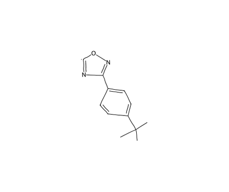 CC(C)(C)c1ccc(-c2n[c]on2)cc1